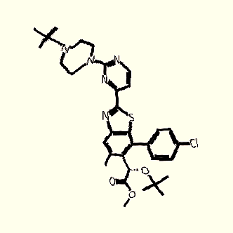 COC(=O)[C@@H](OC(C)(C)C)c1c(C)cc2nc(-c3ccnc(N4CCN(C(C)(C)C)CC4)n3)sc2c1-c1ccc(Cl)cc1